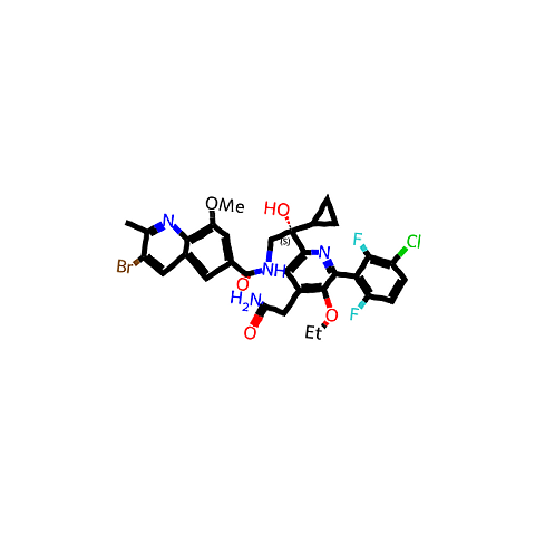 CCOc1c(CC(N)=O)cc([C@@](O)(CNC(=O)c2cc(OC)c3nc(C)c(Br)cc3c2)C2CC2)nc1-c1c(F)ccc(Cl)c1F